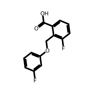 O=C(O)c1cccc(F)c1COc1cccc(F)c1